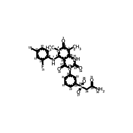 Cc1c(=O)n(C)c(Nc2ccc(I)cc2F)c2c(=O)n(-c3cccc(S(=O)(=O)CC(N)=O)c3)c(=O)[nH]c12